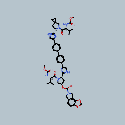 COC(=O)N[C@H](C(=O)N1CC(OC(O)N2Cc3ccc4c(c3C2)OCO4)CC1c1nc(-c2ccc(-c3ccc(-c4c[nH]c([C@@H]5CC6(CC6)CN5C(=O)[C@@H](NC(=O)OC)C(C)C)n4)cc3)cc2)c[nH]1)C(C)C